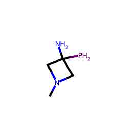 CN1CC(N)(P)C1